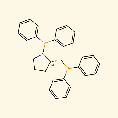 c1ccc(P(C[C@@H]2CCCN2P(c2ccccc2)c2ccccc2)c2ccccc2)cc1